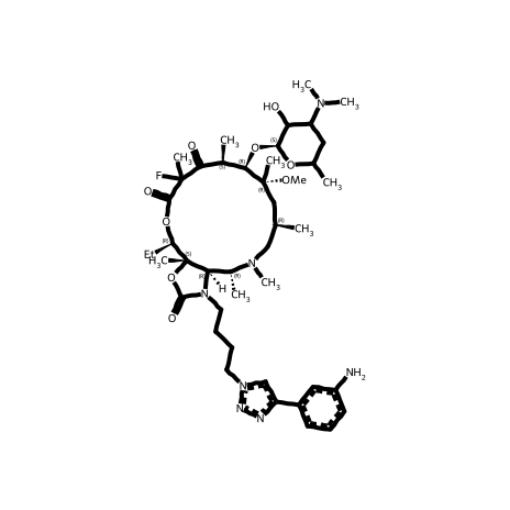 CC[C@H]1OC(=O)C(C)(F)C(=O)[C@@H](C)[C@@H](O[C@@H]2OC(C)CC(N(C)C)C2O)[C@](C)(OC)C[C@@H](C)CN(C)[C@H](C)[C@H]2N(CCCCn3cc(-c4cccc(N)c4)nn3)C(=O)O[C@]12C